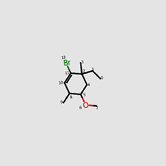 CCC1(C)CC(OC)C(C)C=C1Br